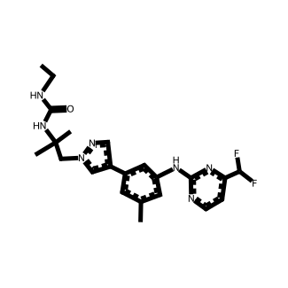 CCNC(=O)NC(C)(C)Cn1cc(-c2cc(C)cc(Nc3nccc(C(F)F)n3)c2)cn1